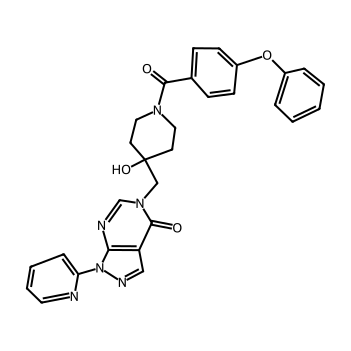 O=C(c1ccc(Oc2ccccc2)cc1)N1CCC(O)(Cn2cnc3c(cnn3-c3ccccn3)c2=O)CC1